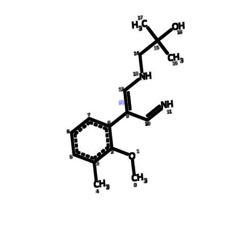 COc1c(C)cccc1/C(C=N)=C/NCC(C)(C)O